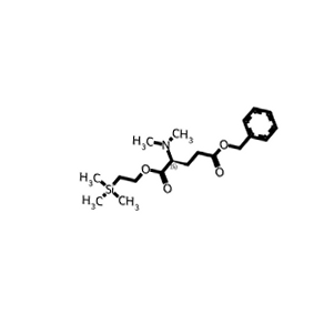 CN(C)[C@@H](CCC(=O)OCc1ccccc1)C(=O)OCC[Si](C)(C)C